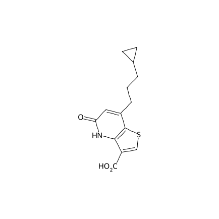 O=C(O)c1csc2c(CCCC3CC3)cc(=O)[nH]c12